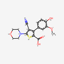 COc1cc(-c2c(C(=O)O)sc(N3CCOCC3)c2C#N)ccc1O